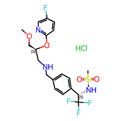 COC[C@H](CNCc1ccc([C@H](NS(C)(=O)=O)C(F)(F)F)cc1)Oc1ccc(F)cn1.Cl